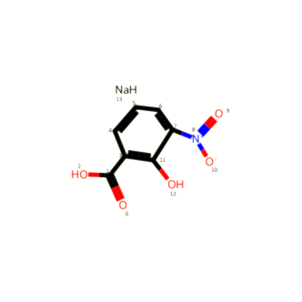 O=C(O)c1cccc([N+](=O)[O-])c1O.[NaH]